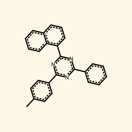 Cc1ccc(-c2nc(-c3ccccc3)nc(-c3cccc4ccccc34)n2)cc1